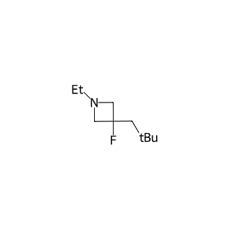 CCN1CC(F)(CC(C)(C)C)C1